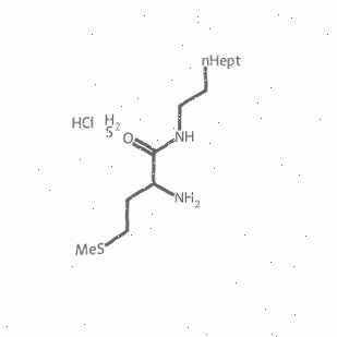 CCCCCCCCCNC(=O)C(N)CCSC.Cl.S